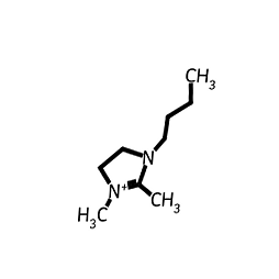 CCCCN1CC[N+](C)=C1C